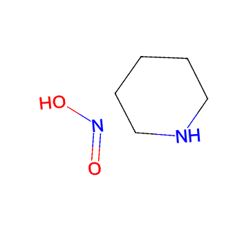 C1CCNCC1.O=NO